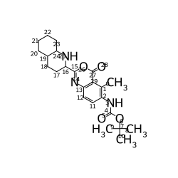 Cc1c(NC(=O)OC(C)(C)C)ccc2nc(C3CCC4CCCCC4N3)oc(=O)c12